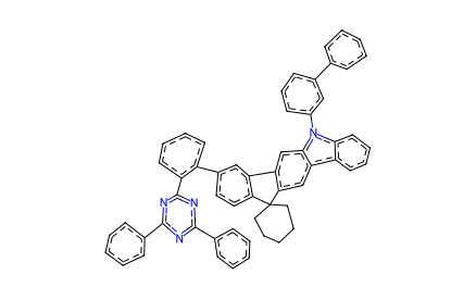 c1ccc(-c2cccc(-n3c4ccccc4c4cc5c(cc43)-c3cc(-c4ccccc4-c4nc(-c6ccccc6)nc(-c6ccccc6)n4)ccc3C53CCCCC3)c2)cc1